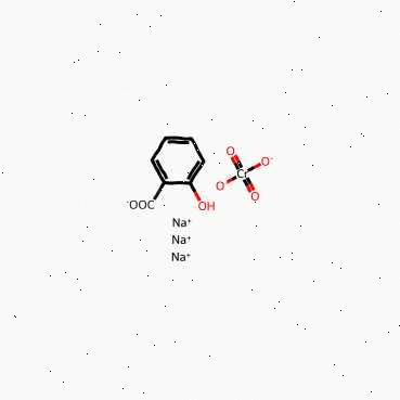 O=C([O-])c1ccccc1O.[Na+].[Na+].[Na+].[O]=[Cr](=[O])([O-])[O-]